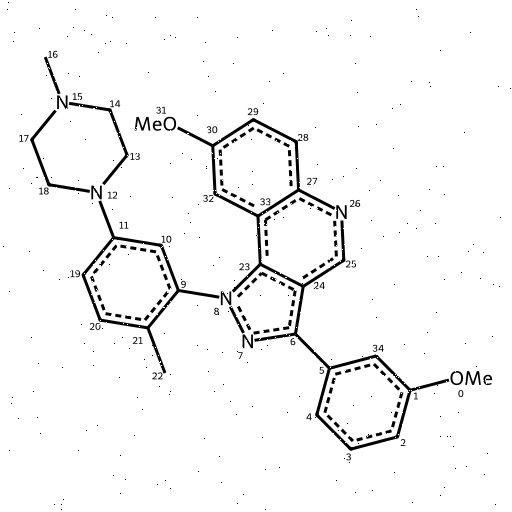 COc1cccc(-c2nn(-c3cc(N4CCN(C)CC4)ccc3C)c3c2cnc2ccc(OC)cc23)c1